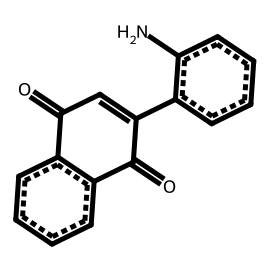 Nc1ccccc1C1=CC(=O)c2ccccc2C1=O